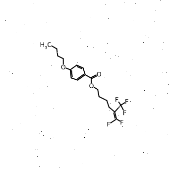 CCCCOc1ccc(C(=O)OCCCCC(=C(F)F)C(F)(F)F)cc1